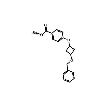 CC(C)(C)OC(=O)c1ccc(OC2CC(OCc3ccccc3)C2)cc1